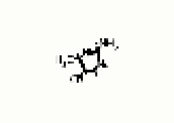 Cc1nc(N)ncc1Cl